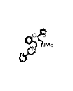 CNCC[C@@H](Oc1ccccc1CCN1CCC(c2ccccn2)CC1)c1cccs1